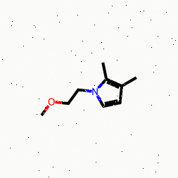 COCCn1ccc(C)c1C